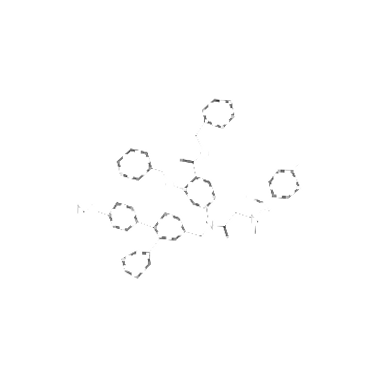 Cc1ccc(S(=O)(=O)N(C)CC(=O)N(Cc2ccc(-c3ccc(C#N)cc3)c(-c3ccccc3)c2)c2ccc(C(=O)OCc3ccccc3)c(OCc3ccccc3)c2)cc1